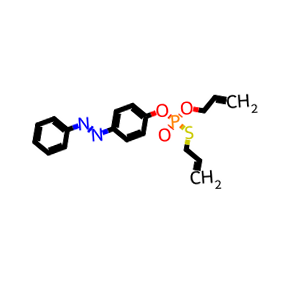 C=CCOP(=O)(Oc1ccc(N=Nc2ccccc2)cc1)SCC=C